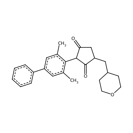 Cc1cc(-c2ccccc2)cc(C)c1C1C(=O)CC(CC2CCOCC2)C1=O